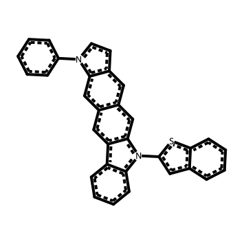 c1ccc(-n2ccc3cc4cc5c(cc4cc32)c2ccccc2n5-c2cc3ccccc3s2)cc1